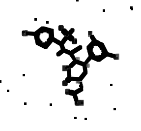 CC(C(C)[C@@H]1NC(=O)[C@@H](CC(=O)O)C[C@@H]1c1cc(F)cc(Cl)c1)C(c1ccc(Cl)cc1)S(C)(=O)=O